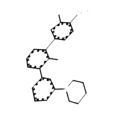 CC(=O)Nc1ccc(-c2cccc(-c3cccc(N4CCCCC4)c3)c2O)cc1F